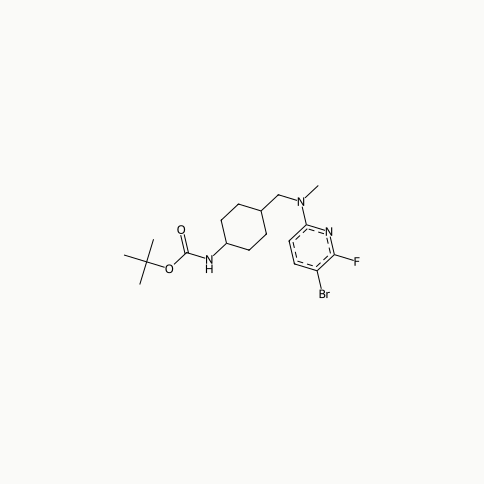 CN(CC1CCC(NC(=O)OC(C)(C)C)CC1)c1ccc(Br)c(F)n1